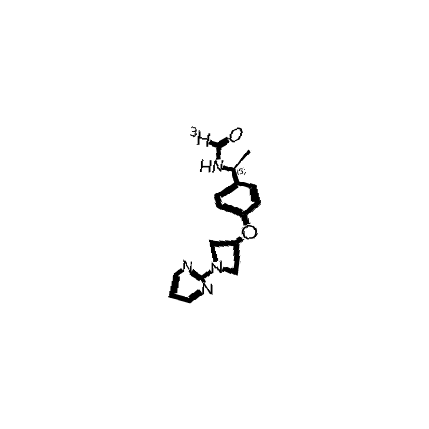 [3H]C(=O)N[C@@H](C)c1ccc(OC2CN(c3ncccn3)C2)cc1